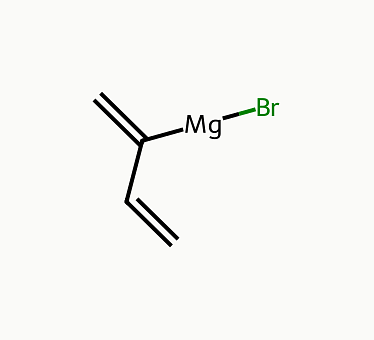 C=C[C](=C)[Mg][Br]